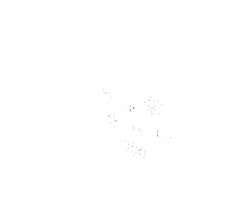 CCOP(=O)(S)OC1C[C@H](n2cc(C)c(=O)[nH]c2=O)O[C@@H]1COP(=O)(S)OC1C[C@H](n2cnc3c(N)ncnc32)O[C@@H]1COP(=O)(S)OC1C[C@H](n2cnc3c(=O)[nH]c(N)nc32)O[C@@H]1COP(=O)(S)OC